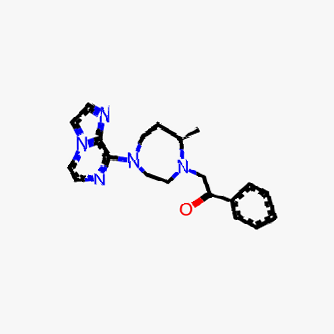 C[C@@H]1CCN(c2nccn3ccnc23)CCN1CC(=O)c1ccccc1